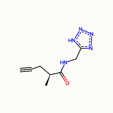 C#CC[C@H](C)C(=O)NCc1nnn[nH]1